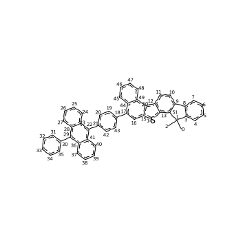 CC1(C)c2ccccc2-c2ccc3c(sc4cc(-c5ccc(-c6c7ccccc7c(-c7ccccc7)c7ccccc67)cc5)c5ccccc5c43)c21